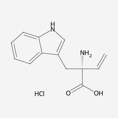 C=C[C@](N)(Cc1c[nH]c2ccccc12)C(=O)O.Cl